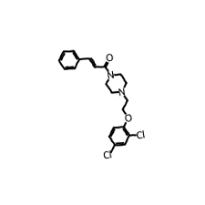 O=C(/C=C/c1ccccc1)N1CCN(CCOc2ccc(Cl)cc2Cl)CC1